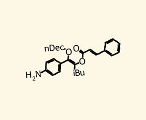 CCCCCCCCCCOC(=C(OC(=O)C=Cc1ccccc1)C(C)CC)c1ccc(N)cc1